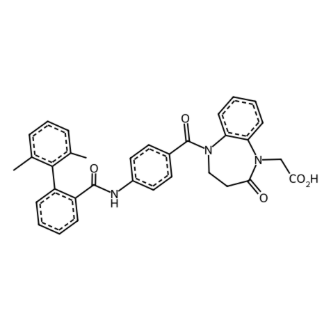 Cc1cccc(C)c1-c1ccccc1C(=O)Nc1ccc(C(=O)N2CCC(=O)N(CC(=O)O)c3ccccc32)cc1